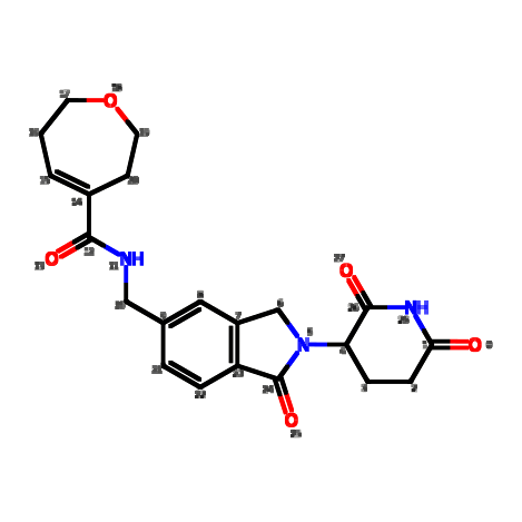 O=C1CCC(N2Cc3cc(CNC(=O)C4=CCCOCC4)ccc3C2=O)C(=O)N1